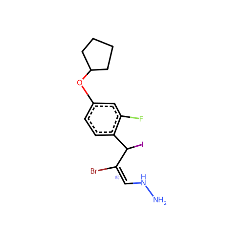 NN/C=C(/Br)C(I)c1ccc(OC2CCCC2)cc1F